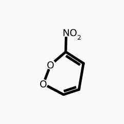 O=[N+]([O-])C1=CC=COO1